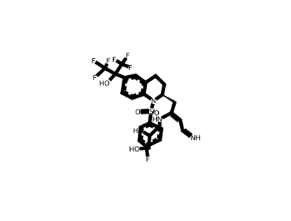 N=C/C=C(/C[C@@H]1CCc2cc(C(O)(C(F)(F)F)C(F)(F)F)ccc2N1S(=O)(=O)c1ccc(F)cc1)NCC(O)CO